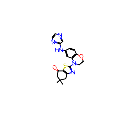 CC1(C)CC(=O)c2sc(N3CCOc4ccc(Nc5cnccn5)cc43)nc2C1